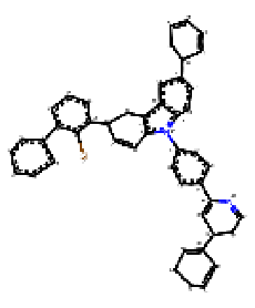 Sc1c(-c2ccccc2)cccc1C1C=Cc2c(c3cc(C4C=CC=CC4)ccc3n2-c2ccc(C3=CC(C4=CCCC=C4)CC=N3)cc2)C1